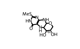 CSc1nc2c(c(=O)[nH]1)NC1C(N2)OC[C@@H](O)[C@H]1O